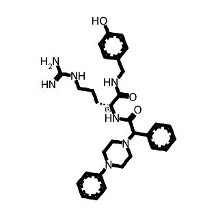 N=C(N)NCCC[C@@H](NC(=O)C(c1ccccc1)N1CCN(c2ccccc2)CC1)C(=O)NCc1ccc(O)cc1